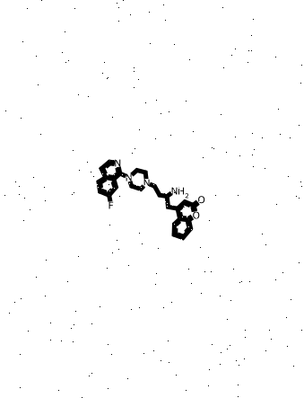 NC(CCN1CCN(c2nccc3ccc(F)cc23)CC1)Cc1cc(=O)oc2ccccc12